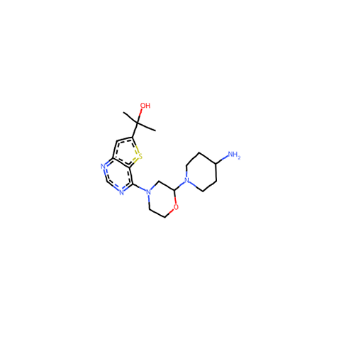 CC(C)(O)c1cc2ncnc(N3CCOC(N4CCC(N)CC4)C3)c2s1